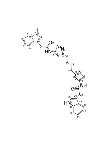 O=C(Cc1c[nH]c2ccccc12)Nc1nnc(CCCCc2nnc(NC(=O)Cc3c[nH]c4ccccc34)s2)s1